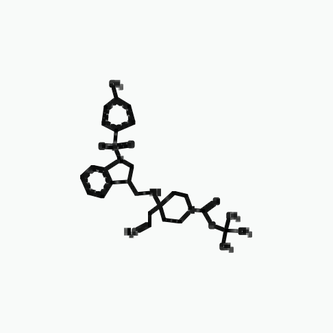 C=CCC1(NCC2CN(S(=O)(=O)c3ccc(C)cc3)c3ccccc32)CCN(C(=O)OC(C)(C)C)CC1